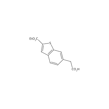 CCOC(=O)c1cc2ccc(CC(=O)O)cc2s1